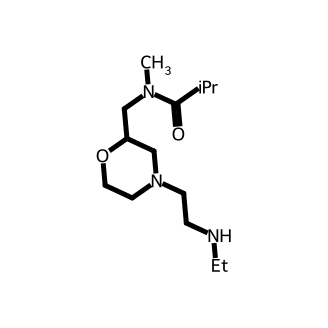 CCNCCN1CCOC(CN(C)C(=O)C(C)C)C1